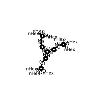 CCCCCCOc1cc(-c2nnc(-c3ccc4nc5c6nc7ccc(-c8nnc(-c9cc(OCCCCCC)c(OCCCCCC)c(OCCCCCC)c9)o8)cc7nc6c6nc7cc(-c8nnc(-c9cc(OCCCCCC)c(OCCCCCC)c(OCCCCCC)c9)o8)ccc7nc6c5nc4c3)o2)cc(OCCCCCC)c1OCCCCCC